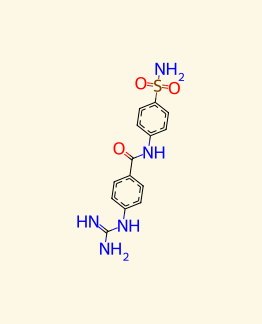 N=C(N)Nc1ccc(C(=O)Nc2ccc(S(N)(=O)=O)cc2)cc1